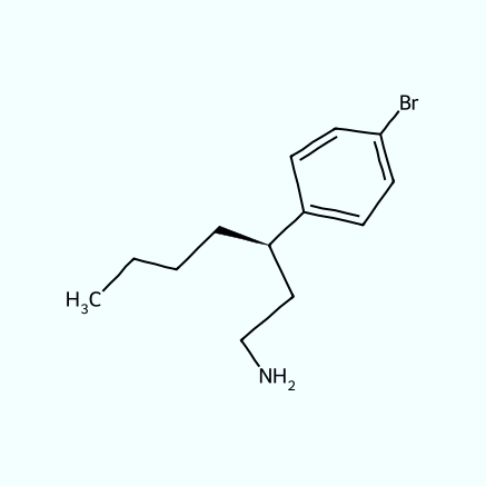 CCCC[C@H](CCN)c1ccc(Br)cc1